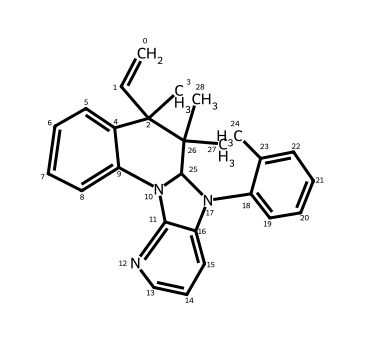 C=CC1(C)c2ccccc2N2c3ncccc3N(c3ccccc3C)C2C1(C)C